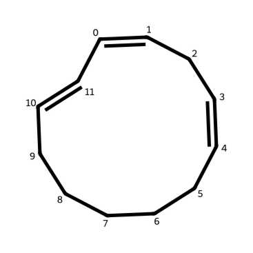 C1=C\C/C=C\CCCCC/C=C/1